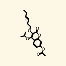 CC/C=C/CCOc1c(OC(C)C)c2ccc(OC(C)=O)cc2oc1=O